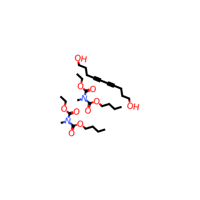 CCCCOC(=O)N(C)C(=O)OCC.CCCCOC(=O)N(C)C(=O)OCC.OCCCC#CC#CCCCO